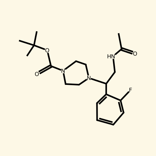 CC(=O)NCC(c1ccccc1F)N1CCN(C(=O)OC(C)(C)C)CC1